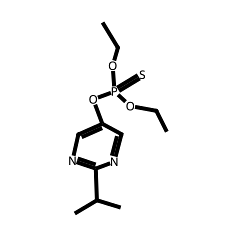 CCOP(=S)(OCC)Oc1cnc(C(C)C)nc1